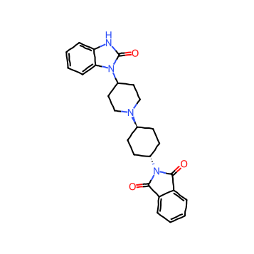 O=C1c2ccccc2C(=O)N1[C@H]1CC[C@H](N2CCC(n3c(=O)[nH]c4ccccc43)CC2)CC1